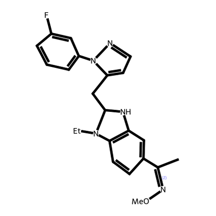 CCN1c2ccc(/C(C)=N\OC)cc2NC1Cc1ccnn1-c1cccc(F)c1